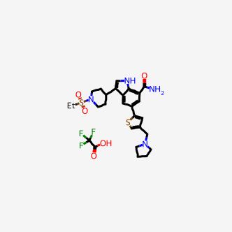 CCS(=O)(=O)N1CCC(c2c[nH]c3c(C(N)=O)cc(-c4cc(CN5CCCC5)cs4)cc23)CC1.O=C(O)C(F)(F)F